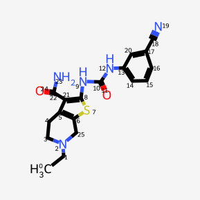 CCN1CCc2c(sc(NC(=O)Nc3cccc(C#N)c3)c2C(N)=O)C1